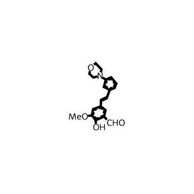 COc1cc(C=Cc2cccc(N3CCOCC3)c2)cc(C=O)c1O